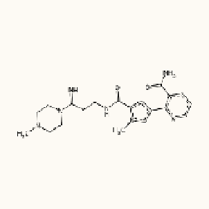 CN1CCN(C(=N)CCNC(=O)c2cc(-c3ncccc3C(N)=O)cn2C)CC1